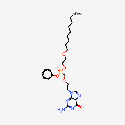 CCCCCCCCCCCCCCCCCCOCCOP(=O)(COCCN1C=NC2C(=O)N=C(N)N=C21)Oc1ccccc1